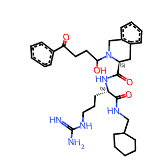 N=C(N)NCCC[C@H](NC(=O)[C@@H]1Cc2ccccc2CN1C(O)CCC(=O)c1ccccc1)C(=O)NCC1CCCCC1